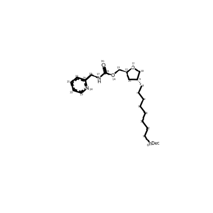 CCCCCCCCCCCCCCCCCC[C@H]1CO[C@H](COC(=O)NCc2ccccn2)C1